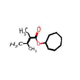 CC(C)=C(C)C(=O)OC1CCCCCC1